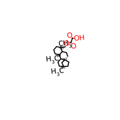 C[C@@]12CCC3[C@@](CCC4[C@@](C)(COC(=O)C(=O)O)CCC[C@]43C)(CC1)C2